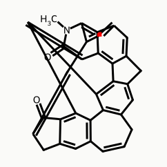 Cn1c(=O)c2c3c4c5cc6ccc(cc7c(=O)c8c(cc9c%10c%11c(cc(c4c%11c2c8%10)C5)CC=C9)C7)c1c63